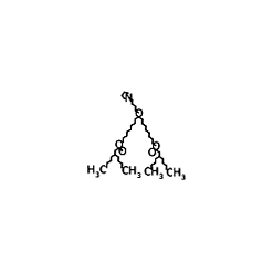 CCCCCC(CCCCC)CC(=O)OCCCCCCCCC(CCCCCCCCOC(=O)CC(CCCCC)CCCCC)OCCCCN1CCCC1